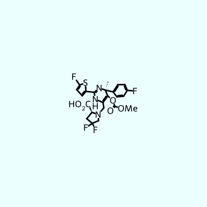 COC(=O)OC1=C(CN2CC(F)(F)C[C@H]2C(=O)O)NC(c2ccc(F)s2)=N[C@@]1(C)c1ccc(F)cc1